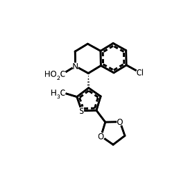 Cc1sc(C2OCCO2)cc1[C@H]1c2cc(Cl)ccc2CCN1C(=O)O